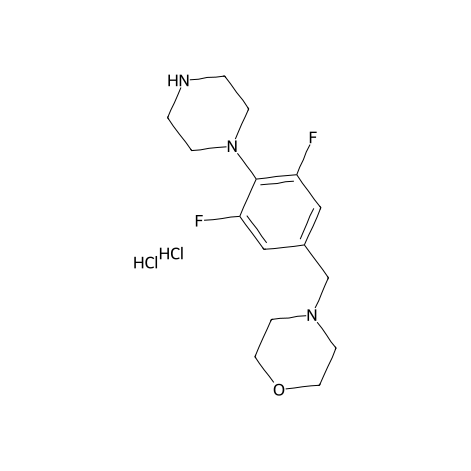 Cl.Cl.Fc1cc(CN2CCOCC2)cc(F)c1N1CCNCC1